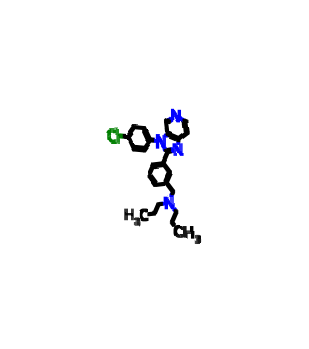 CCCN(CCC)Cc1cccc(-c2nc3ccncc3n2C2=CCC(Cl)C=C2)c1